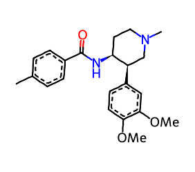 COc1ccc([C@@H]2CN(C)CC[C@@H]2NC(=O)c2ccc(C)cc2)cc1OC